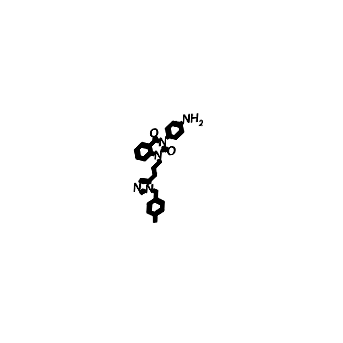 Cc1ccc(Cn2cncc2CCCn2c(=O)n(-c3ccc(N)cc3)c(=O)c3ccccc32)cc1